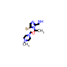 CC(OCN1CCN(C)CC1)n1c(Br)cnc1C=N